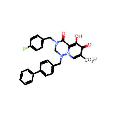 O=C(O)c1cn2c(c(O)c1=O)C(=O)N(Cc1ccc(F)cc1)CN2Cc1ccc(-c2ccccc2)cc1